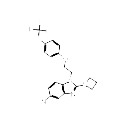 Nc1ccc2c(c1)nc(N1CCC1)n2CCOc1ccc(OC(F)(F)F)cc1